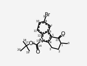 CC1CCc2c(c3cc(Br)ccc3n2C(=O)OC(C)(C)C)C1=O